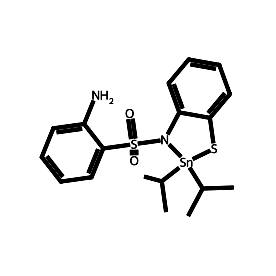 C[CH](C)[Sn]1([CH](C)C)[S]c2ccccc2[N]1S(=O)(=O)c1ccccc1N